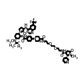 CC(C)N(C)[C@@H]1CC[C@H](N2CC[C@H](Nc3ncnc4ccc(C(F)(F)F)cc34)C2=O)[C@H](NC(=O)c2ccc(N3CCC(C(=O)NCCOCCOCCNC(=O)[C@H]4CC(=O)N(C)[C@@H]4c4cccnc4)CC3)cc2)C1